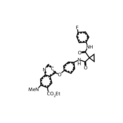 CCOC(=O)c1cc2c(Oc3ccc(NC(=O)C4(C(=O)Nc5ccc(F)cc5)CC4)cc3)ccnc2cc1NC